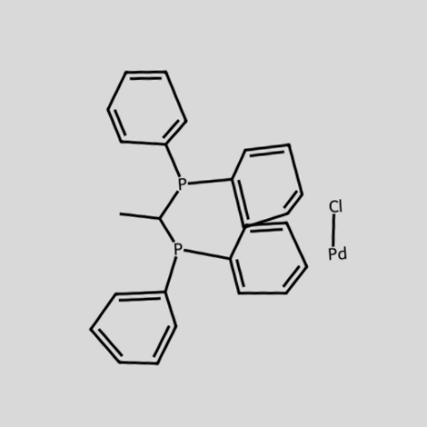 CC(P(c1ccccc1)c1ccccc1)P(c1ccccc1)c1ccccc1.[Cl][Pd]